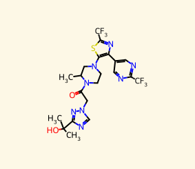 CC1CN(c2sc(C(F)(F)F)nc2-c2cnc(C(F)(F)F)nc2)CCN1C(=O)Cn1cnc(C(C)(C)O)n1